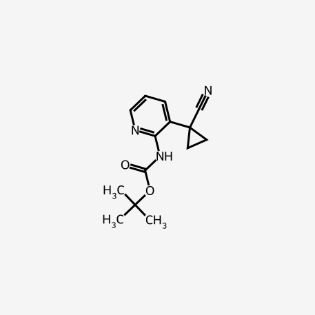 CC(C)(C)OC(=O)Nc1ncccc1C1(C#N)CC1